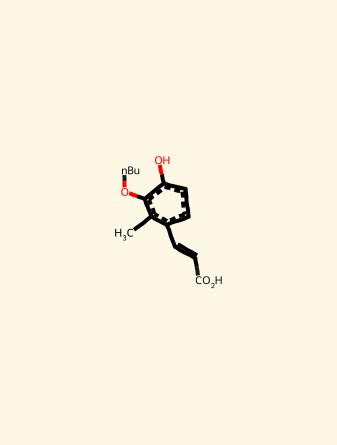 CCCCOc1c(O)ccc(/C=C/C(=O)O)c1C